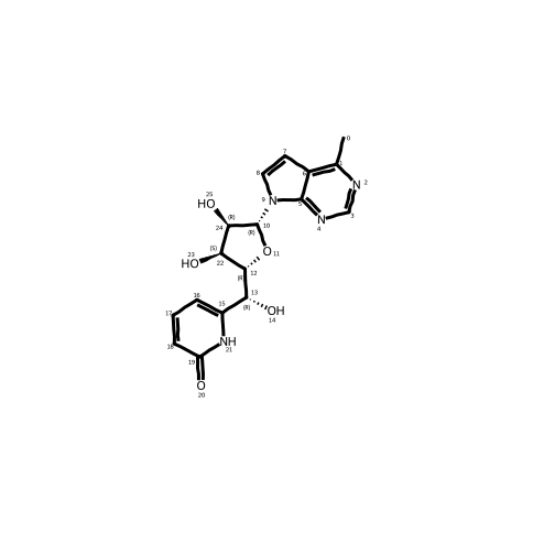 Cc1ncnc2c1ccn2[C@@H]1O[C@H]([C@H](O)c2cccc(=O)[nH]2)[C@@H](O)[C@H]1O